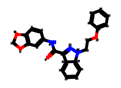 O=C(Nc1ccc2c(c1)OCO2)c1nn(CCOc2ccccc2)c2ccccc12